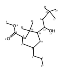 CCCC(CCC(=O)OC)CC(C(O)CC(C)(C)C)C(C)(C)C